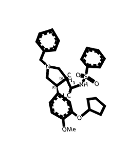 COc1ccc([C@H]2CN(Cc3ccccc3)C[C@@]2(C)C(C)NS(=O)(=O)c2ccccc2)cc1OC1CCCC1